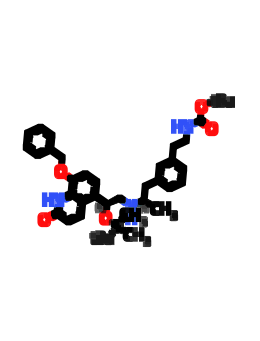 C[C@H](Cc1cccc(CCNC(=O)OC(C)(C)C)c1)NC[C@@H](O[Si](C)(C)C(C)(C)C)c1ccc(OCc2ccccc2)c2[nH]c(=O)ccc12